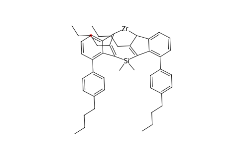 CCCCC1=C2c3c(-c4ccc(CCCC)cc4)cccc3[CH]1[Zr][CH]1C(CCCC)=C(c3c(-c4ccc(CCCC)cc4)cccc31)[Si]2(C)C